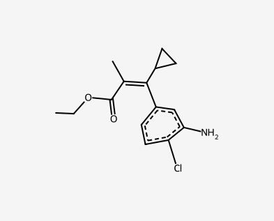 CCOC(=O)C(C)=C(c1ccc(Cl)c(N)c1)C1CC1